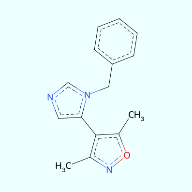 Cc1noc(C)c1-c1cncn1Cc1ccccc1